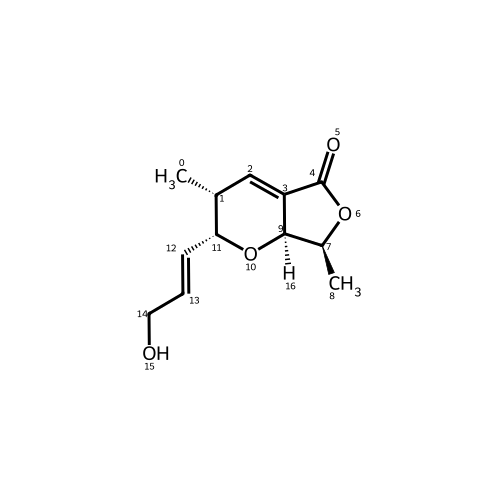 C[C@@H]1C=C2C(=O)O[C@@H](C)[C@H]2O[C@@H]1/C=C/CO